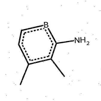 Cc1ccbc(N)c1C